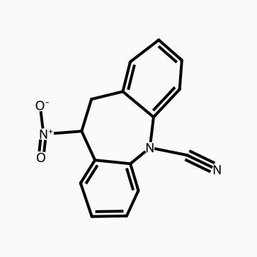 N#CN1c2ccccc2CC([N+](=O)[O-])c2ccccc21